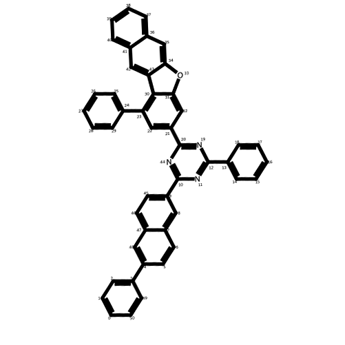 c1ccc(-c2ccc3cc(-c4nc(-c5ccccc5)nc(-c5cc(-c6ccccc6)c6c(c5)oc5cc7ccccc7cc56)n4)ccc3c2)cc1